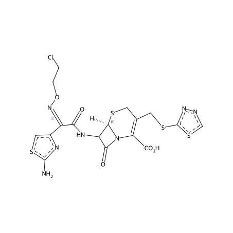 Nc1nc(/C(=N/OCCCl)C(=O)NC2C(=O)N3C(C(=O)O)=C(CSc4nncs4)CS[C@H]23)cs1